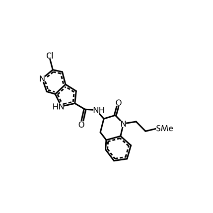 CSCCN1C(=O)C(NC(=O)c2cc3cc(Cl)ncc3[nH]2)Cc2ccccc21